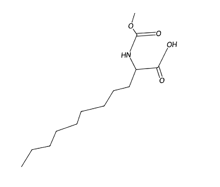 CCCCCCCCCC(NC(=O)OC)C(=O)O